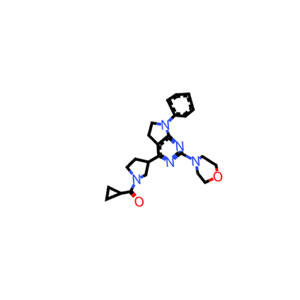 O=C(C1CC1)N1CCC(c2nc(N3CCOCC3)nc3c2CCN3c2ccccc2)C1